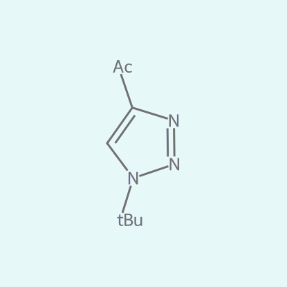 CC(=O)c1cn(C(C)(C)C)nn1